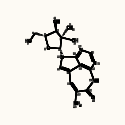 C[C@@]1(O)[C@H](O)[C@@H](CO)O[C@H]1n1cc2c3c(ncnc31)NC(=O)C(N)=C2